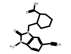 C#Cc1ccc2c(c1)n(CC1CCCCC1C(=O)O)c(=O)n2C